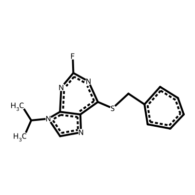 CC(C)n1cnc2c(SCc3ccccc3)nc(F)nc21